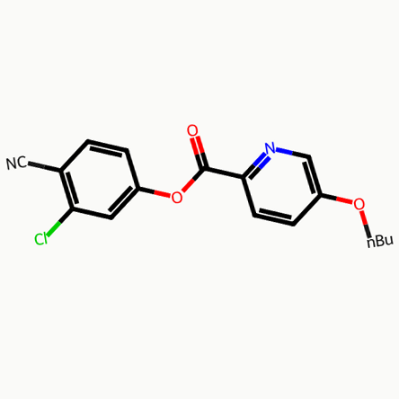 CCCCOc1ccc(C(=O)Oc2ccc(C#N)c(Cl)c2)nc1